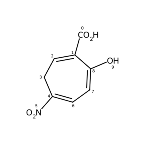 O=C(O)C1=CCC([N+](=O)[O-])=CC=C1O